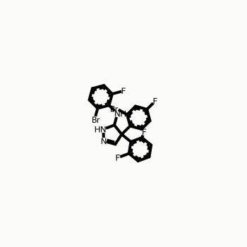 Fc1ccc(C2(c3c(F)cccc3F)C=NNC2Nc2c(F)cccc2Br)c(Br)c1